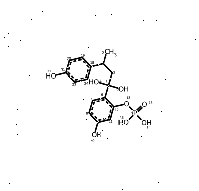 CC(CC(O)(O)c1ccc(O)cc1OP(=O)(O)O)c1ccc(O)cc1